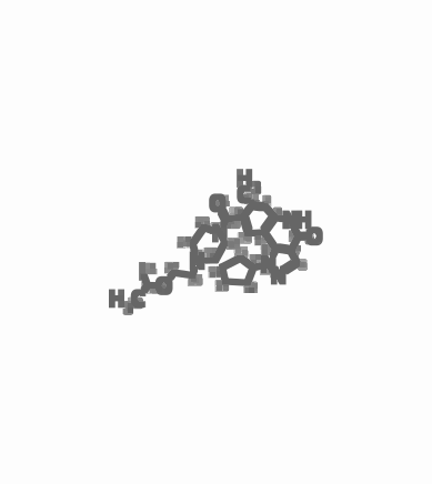 Cc1cc2[nH]c(=O)c3cnn(C4CCCC4)c3c2cc1C(=O)N1CCN(CCOC(C)I)CC1